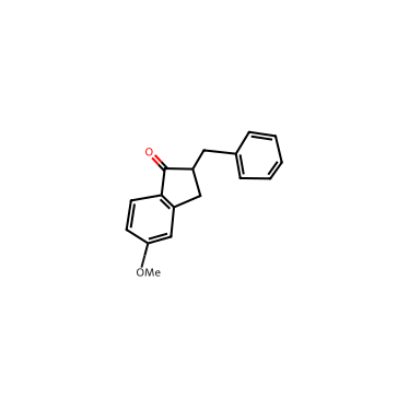 COc1ccc2c(c1)CC(Cc1ccccc1)C2=O